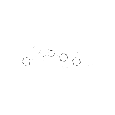 COc1cc(OC)c(-c2ccc(-c3cn(C(=O)N4CCCCC4Cc4ccccc4)nn3)cc2)c(OC)c1